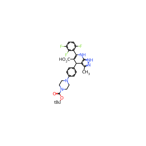 Cc1n[nH]c2c1C(c1ccc(N3CCN(C(=O)OC(C)(C)C)CC3)cc1)C(C(=O)O)=C(c1c(F)ccc(F)c1F)N2